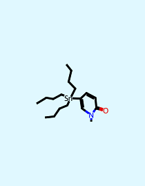 CCC[CH2][Sn]([CH2]CCC)([CH2]CCC)[c]1ccc(=O)n(C)c1